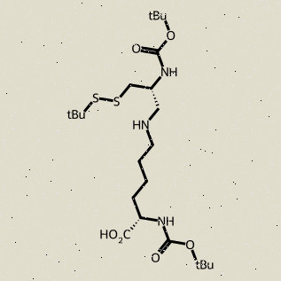 CC(C)(C)OC(=O)N[C@H](CNCCCC[C@H](NC(=O)OC(C)(C)C)C(=O)O)CSSC(C)(C)C